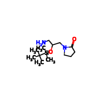 CC(C)(C)[Si](C)(C)OC(CN)CN1CCCC1=O